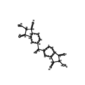 CN1C(=O)c2ccc(C(=O)c3ccc4c(c3)C(=O)N(C(C)(C)C)C4=O)cc2C1=O